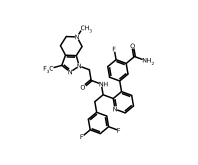 CN1CCc2c(C(F)(F)F)nn(CC(=O)NC(Cc3cc(F)cc(F)c3)c3ncccc3-c3ccc(F)c(C(N)=O)c3)c2C1